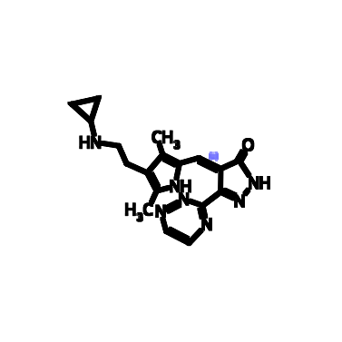 Cc1[nH]c(/C=C2/C(=O)NN=C2c2nccnn2)c(C)c1CCNC1CC1